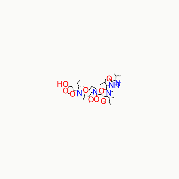 CC[C@H](C)[C@@H]([C@@H](CC(=O)N1CCC[C@H]1[C@H](OC)[C@@H](C)C(=O)N(C)[C@@H]([C@@H](C)CC)[C@@H](CC(=O)O)OC)OC)N(C)C(=O)[C@@H](NC(=O)C(C(C)C)N(C)C)C(C)C